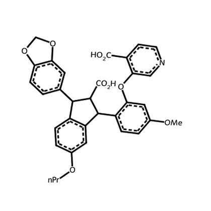 CCCOc1ccc2c(c1)C(c1ccc(OC)cc1Oc1cnccc1C(=O)O)C(C(=O)O)C2c1ccc2c(c1)OCO2